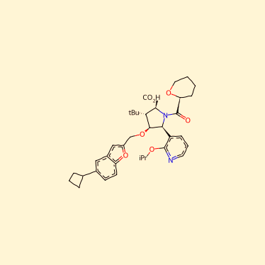 CC(C)Oc1ncccc1[C@H]1[C@@H](OCc2cc3cc(C4CCC4)ccc3o2)[C@H](C(C)(C)C)[C@@H](C(=O)O)N1C(=O)[C@@H]1CCCCO1